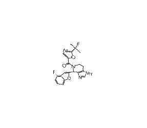 CC(C)(F)c1ncc(C(=O)N2CCc3[nH]cnc3[C@H]2c2cc3c(F)cccc3o2)o1